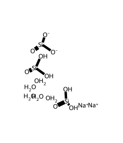 O.O.O.O.O.O=[Si](O)O.O=[Si](O)O.O=[Si]([O-])[O-].[Na+].[Na+]